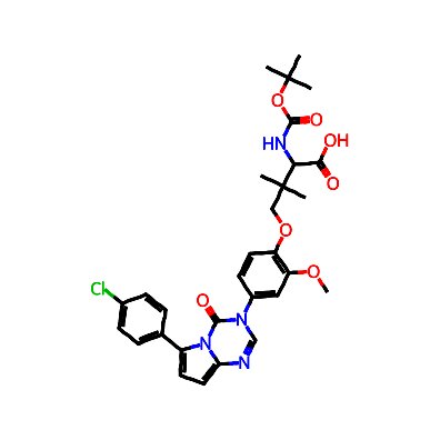 COc1cc(-n2cnc3ccc(-c4ccc(Cl)cc4)n3c2=O)ccc1OCC(C)(C)C(NC(=O)OC(C)(C)C)C(=O)O